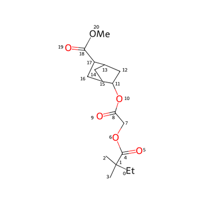 CCC(C)(C)C(=O)OCC(=O)OC1CC2CC1CC2C(=O)OC